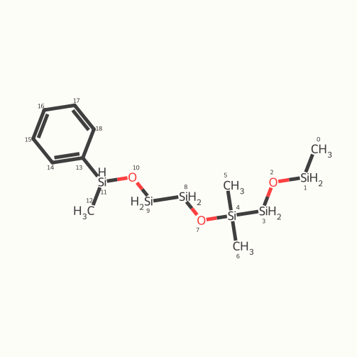 C[SiH2]O[SiH2][Si](C)(C)O[SiH2][SiH2]O[SiH](C)c1ccccc1